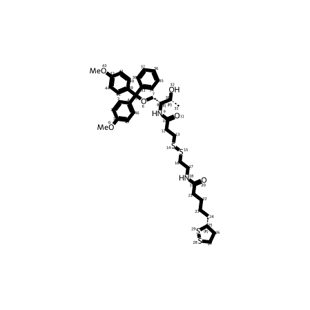 COc1ccc(C(OC[C@@H](NC(=O)CCSSCCNC(=O)CCCC[C@@H]2CCSS2)[C@@H](C)O)(c2ccccc2)c2ccc(OC)cc2)cc1